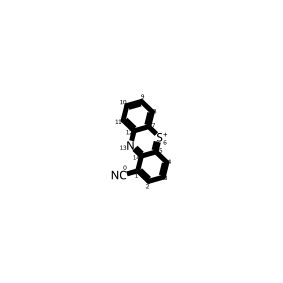 N#Cc1cccc2[s+]c3ccccc3nc12